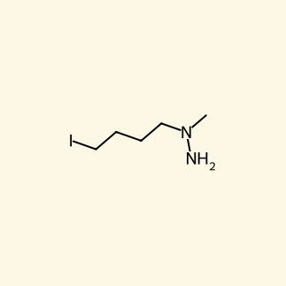 CN(N)CCCCI